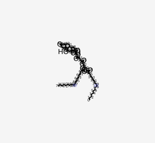 CCCCCCCC/C=C\CCCCCCCC(=O)OCC(COC(=O)CCC(=O)OCC(=O)[C@@]1(O)[C@H](C)CC2C3CCC4=CC(=O)C=CC4(C)C3C(O)CC21C)OC(=O)CCCCCCC/C=C\CCCCCCCC